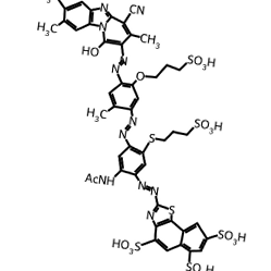 CC(=O)Nc1cc(N=Nc2cc(OCCCS(=O)(=O)O)c(N=Nc3c(C)c(C#N)c4nc5cc(S(=O)(=O)O)c(C)cc5n4c3O)cc2C)c(SCCCS(=O)(=O)O)cc1N=Nc1nc2c(S(=O)(=O)O)cc3c(S(=O)(=O)O)cc(S(=O)(=O)O)cc3c2s1